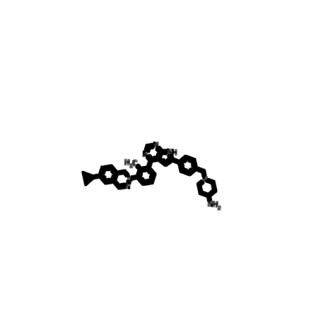 Cc1c(-c2ncnc3[nH]c(-c4ccc(CN5CCC(N)CC5)cc4)cc23)cccc1N1Cc2ccc(C3CC3)cc2C=N1